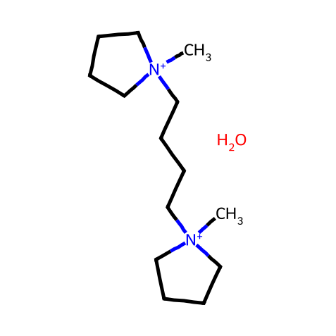 C[N+]1(CCCC[N+]2(C)CCCC2)CCCC1.O